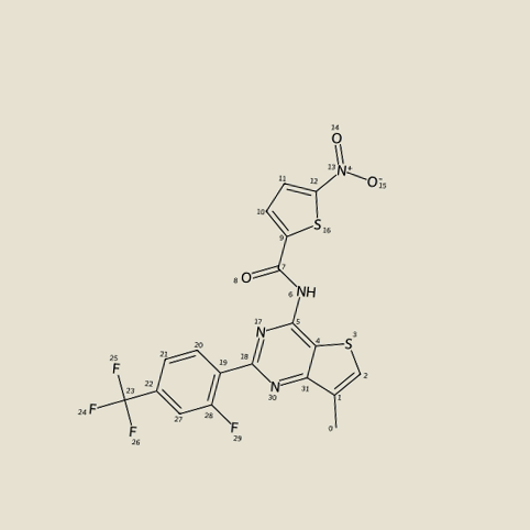 Cc1csc2c(NC(=O)c3ccc([N+](=O)[O-])s3)nc(-c3ccc(C(F)(F)F)cc3F)nc12